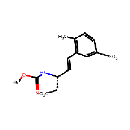 Cc1ccc([N+](=O)[O-])cc1C=C[C@H](CC(=O)O)NC(=O)OC(C)(C)C